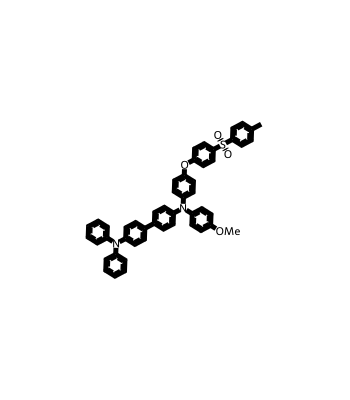 COc1ccc(N(c2ccc(Oc3ccc(S(=O)(=O)c4ccc(C)cc4)cc3)cc2)c2ccc(-c3ccc(N(c4ccccc4)c4ccccc4)cc3)cc2)cc1